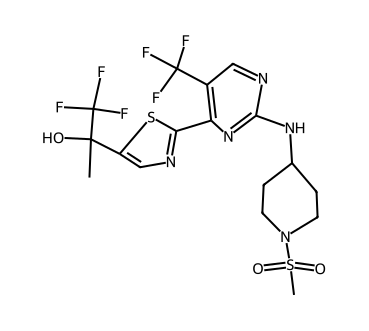 CC(O)(c1cnc(-c2nc(NC3CCN(S(C)(=O)=O)CC3)ncc2C(F)(F)F)s1)C(F)(F)F